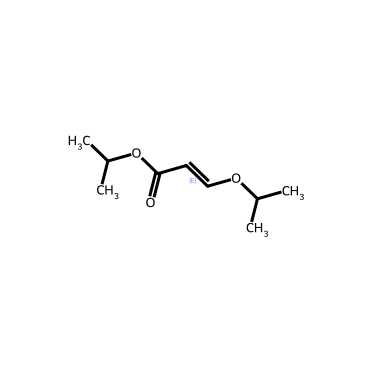 CC(C)O/C=C/C(=O)OC(C)C